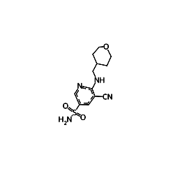 N#Cc1cc(S(N)(=O)=O)cnc1NCC1CCOCC1